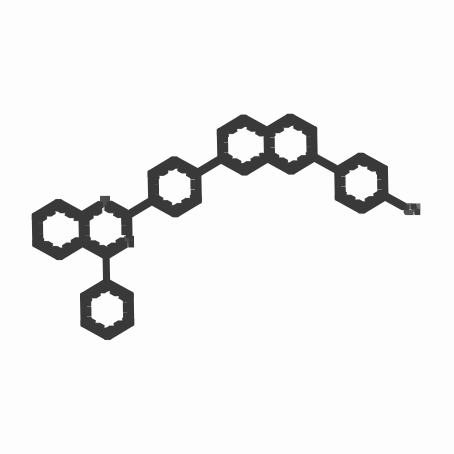 N#Cc1ccc(-c2ccc3ccc(-c4ccc(-c5nc(-c6ccccc6)c6ccccc6n5)cc4)cc3c2)cc1